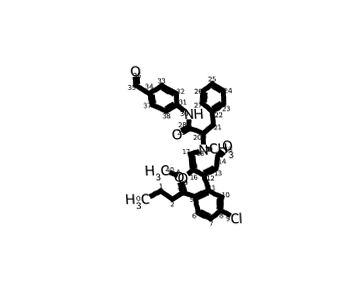 CCCC(=O)c1ccc(Cl)cc1C(=C/C=O)/C(=C\N(C)C(Cc1ccccc1)C(=O)Nc1ccc(C=O)cc1)OC